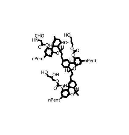 CCCCCc1cc(OC(=O)OC[C@@H](O)CO)c2c(c1)OC(C)(C)[C@@H]1CCC(CCC3(C)Oc4cc(CCCCC)cc(OC(=O)OC[C@H](O)CO)c4[C@@H]4C=C(CCC5(C)Oc6cc(CCCCC)cc(OC(=O)CNC=O)c6[C@@H]6C=C(C)CC[C@H]65)CC[C@H]43)=C[C@@H]21